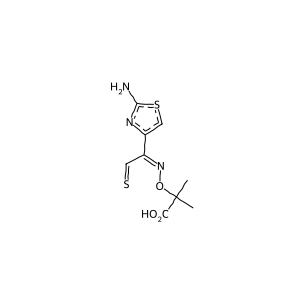 CC(C)(ON=C(C=S)c1csc(N)n1)C(=O)O